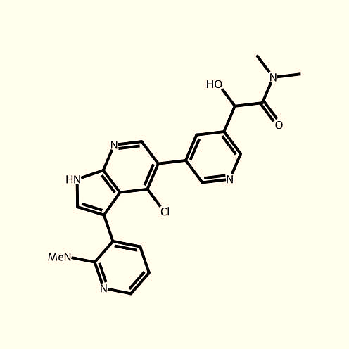 CNc1ncccc1-c1c[nH]c2ncc(-c3cncc(C(O)C(=O)N(C)C)c3)c(Cl)c12